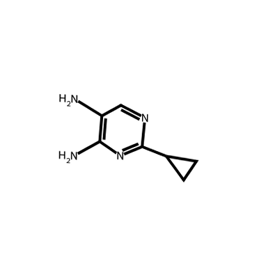 Nc1cnc(C2CC2)nc1N